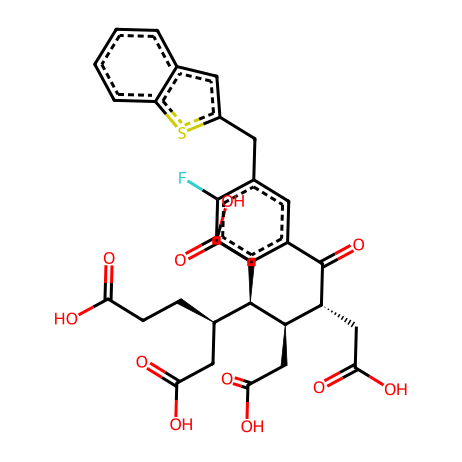 O=C(O)CC[C@H](CC(=O)O)[C@@H](CC(=O)O)[C@H](CC(=O)O)[C@@H](CC(=O)O)C(=O)c1ccc(F)c(Cc2cc3ccccc3s2)c1